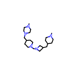 CN1CCC(CC2CN(CN3CCC(CN4CCN(C)CC4)CC3)C2)CC1